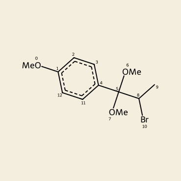 COc1ccc(C(OC)(OC)C(C)Br)cc1